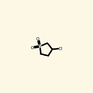 O=S1(=O)CCC(Cl)C1